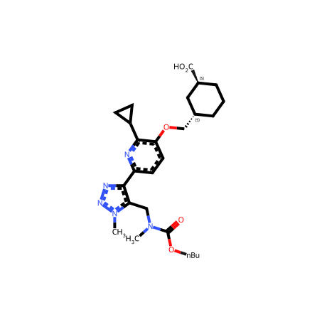 CCCCOC(=O)N(C)Cc1c(-c2ccc(OC[C@H]3CCC[C@H](C(=O)O)C3)c(C3CC3)n2)nnn1C